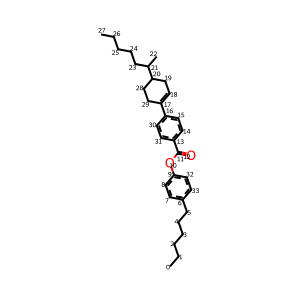 CCCCCCc1ccc(OC(=O)c2ccc(C3=CCC(C(C)CCCCC)CC3)cc2)cc1